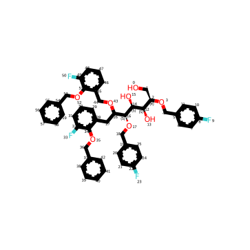 OC[C@@H](OCc1ccc(F)cc1)[C@@H](O)[C@H](O)[C@H](OCc1ccc(F)cc1)C(Cc1cccc(F)c1OCc1ccccc1)OCc1cccc(F)c1OCc1ccccc1